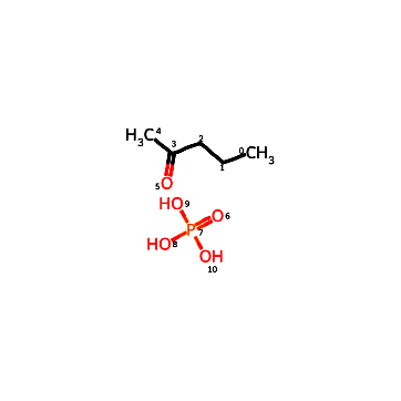 CCCC(C)=O.O=P(O)(O)O